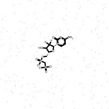 Nc1ccn([C@@H]2O[C@H](COP(=O)(Cl)CP(=O)(Cl)Cl)C(O)C2(F)F)c(=O)n1